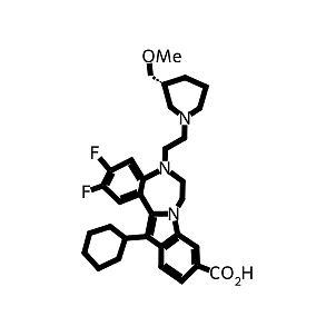 COC[C@@H]1CCCN(CCN2CCn3c(c(C4CCCCC4)c4ccc(C(=O)O)cc43)-c3cc(F)c(F)cc32)C1